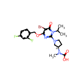 CC(C)n1c(N2CC[C@@H](N(C)C(=O)O)C2)nc(OCc2ccc(F)cc2F)c(Br)c1=O